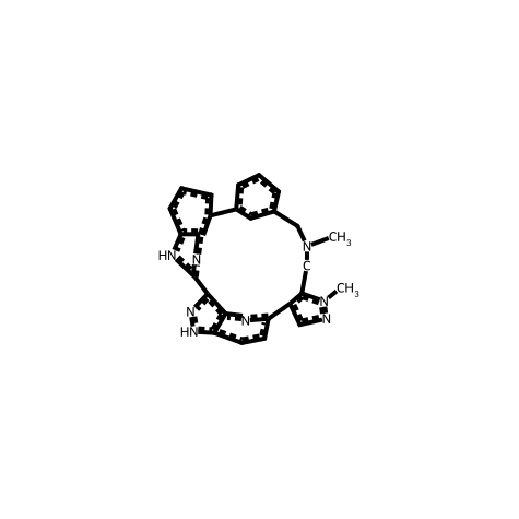 CN1Cc2cccc(c2)-c2cccc3[nH]c(nc23)-c2n[nH]c3ccc(nc23)-c2cnn(C)c2C1